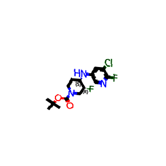 CC(C)(C)OC(=O)N1CC[C@H](Nc2cnc(F)c(Cl)c2)[C@H](F)C1